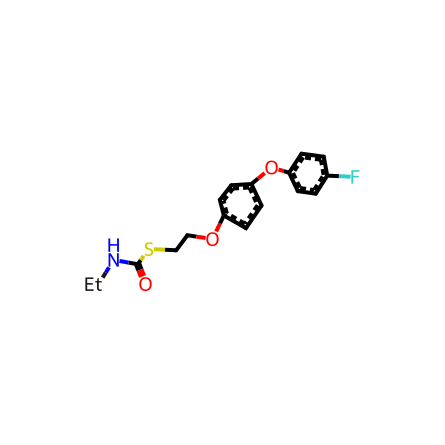 CCNC(=O)SCCOc1ccc(Oc2ccc(F)cc2)cc1